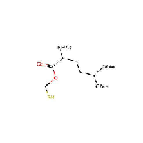 COC(CCC(NC(C)=O)C(=O)OCS)OC